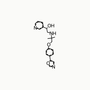 CC(C)(COc1ccc(-c2cnco2)cc1)NC[C@H](O)c1cccnc1